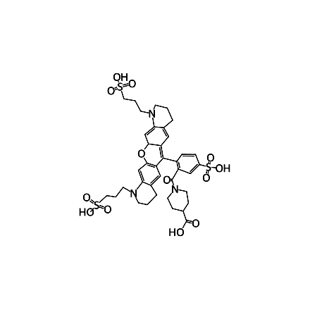 O=C(O)C1CCN(C(=O)c2cc(S(=O)(=O)O)ccc2C2=C3C=C4CCCN(CCCS(=O)(=O)O)C4=CC3Oc3cc4c(cc32)CCCN4CCCS(=O)(=O)O)CC1